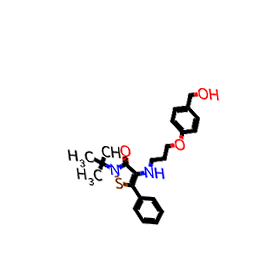 CC(C)(C)n1sc(-c2ccccc2)c(NCCCOc2ccc(CO)cc2)c1=O